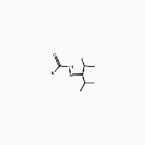 CC(C)C(=NNC(=O)S)C(C)C